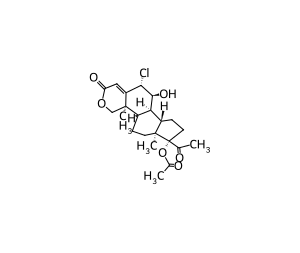 CC(=O)O[C@@]1(C(C)=O)CC[C@H]2[C@@H]3[C@H](O)[C@@H](Cl)C4=CC(=O)OC[C@]4(C)[C@H]3CC[C@@]21C